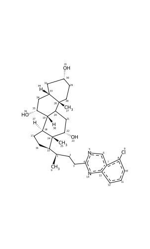 C[C@H](CCc1ncc2c(Cl)cccc2n1)[C@H]1CC[C@H]2[C@H]3C(C[C@H](O)[C@]12C)[C@@]1(C)CC[C@@H](O)C[C@H]1C[C@H]3O